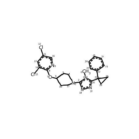 Cn1c(N2CCC(Oc3ncc(Cl)cc3Cl)CC2)nnc1C1(c2ccccc2)CC1